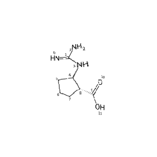 N=C(N)NC1CCC[C@H]1C(=O)O